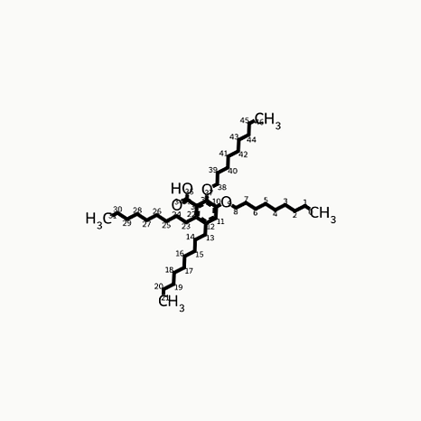 CCCCCCCCCOc1cc(CCCCCCCCC)c(CCCCCCCCC)c(C(=O)O)c1OCCCCCCCCC